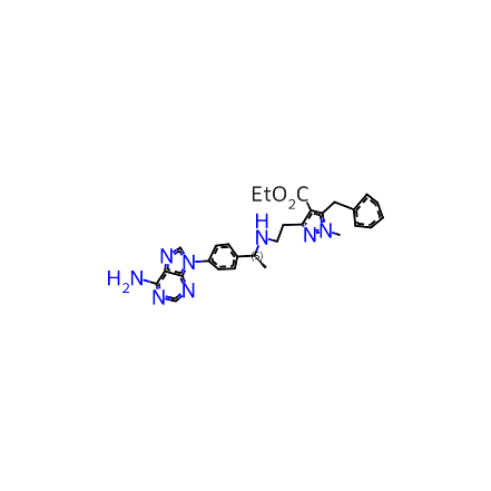 CCOC(=O)c1c(CCN[C@@H](C)c2ccc(-n3cnc4c(N)ncnc43)cc2)nn(C)c1Cc1ccccc1